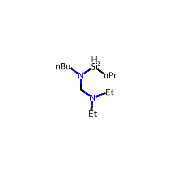 CCCCN(CN(CC)CC)[SiH2]CCC